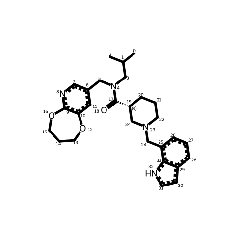 CC(C)CN(Cc1cnc2c(c1)OCCCO2)C(=O)[C@@H]1CCCN(Cc2cccc3cc[nH]c23)C1